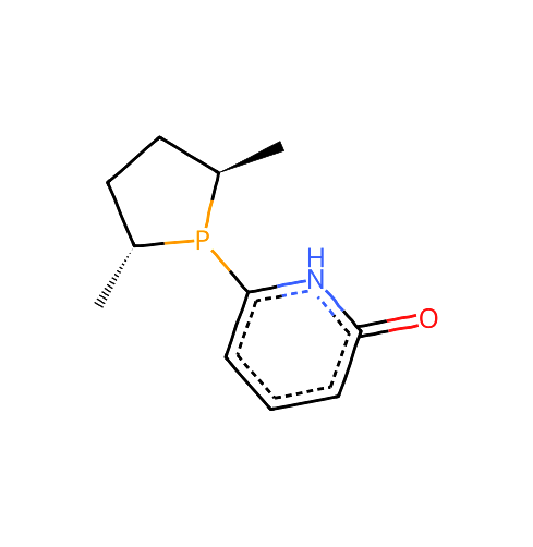 C[C@@H]1CC[C@@H](C)P1c1cccc(=O)[nH]1